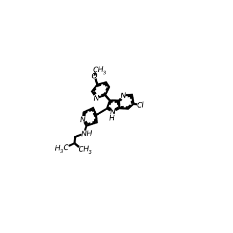 COc1ccc(-c2c(-c3ccnc(NCC(C)C)c3)[nH]c3cc(Cl)cnc23)nc1